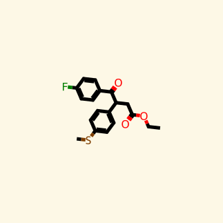 CCOC(=O)CC(C(=O)c1ccc(F)cc1)c1ccc(SC)cc1